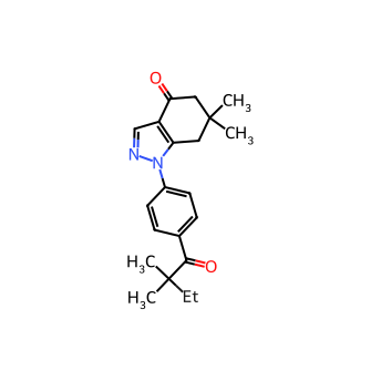 CCC(C)(C)C(=O)c1ccc(-n2ncc3c2CC(C)(C)CC3=O)cc1